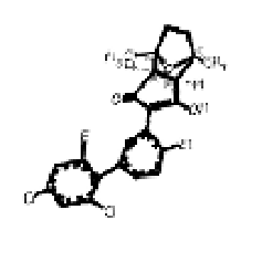 CCc1ccc(-c2c(F)cc(Cl)cc2Cl)cc1C1=C(O)[C@H]2[C@@H](C1=O)[C@]1(C)CC[C@@]2(C)O1